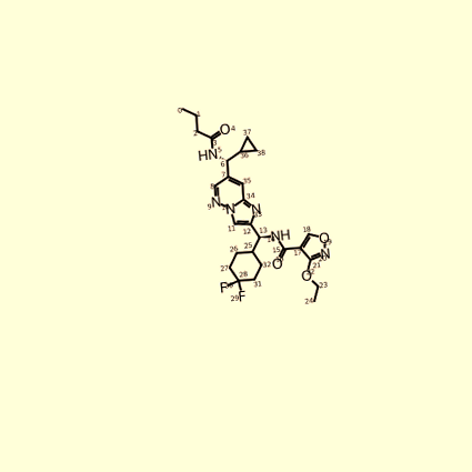 CCCC(=O)N[C@@H](c1cnn2cc([C@@H](NC(=O)c3conc3OCC)C3CCC(F)(F)CC3)nc2c1)C1CC1